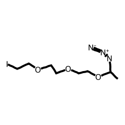 CC(N=[N+]=[N-])OCCOCCOCCI